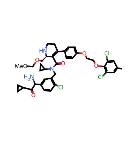 COCOC[C@H]1NCCC(c2ccc(OCCOc3c(Cl)cc(C)cc3Cl)cc2)=C1C(=O)N(Cc1cc(C(N)C(=O)C2CC2)ccc1Cl)C1CC1